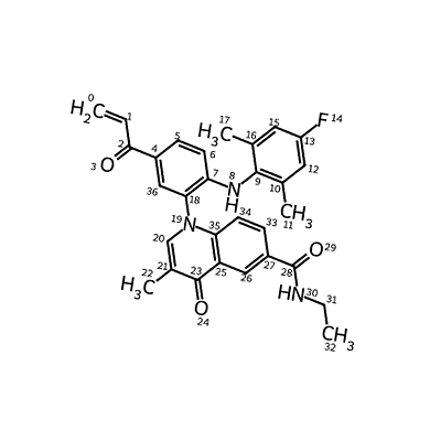 C=CC(=O)c1ccc(Nc2c(C)cc(F)cc2C)c(-n2cc(C)c(=O)c3cc(C(=O)NCC)ccc32)c1